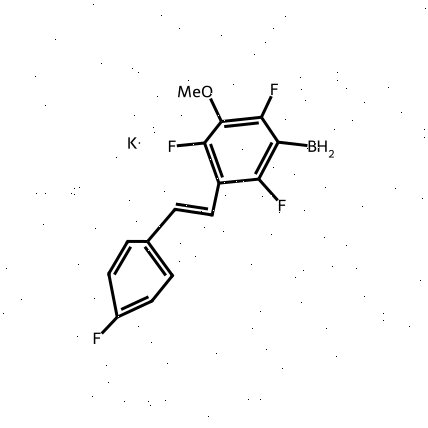 Bc1c(F)c(/C=C/c2ccc(F)cc2)c(F)c(OC)c1F.[K]